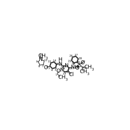 CCOc1cc(O[C@@H]2CCN(C)C2)ccc1Nc1ncc(Cl)c(Nc2ccccc2S(=O)(=O)C(C)C)n1